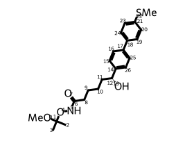 COC(C)(C)ONC(=O)CCCC[C@@H](O)c1ccc(-c2ccc(SC)cc2)cc1